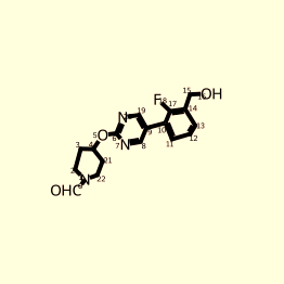 O=CN1CCC(Oc2ncc(-c3cccc(CO)c3F)cn2)CC1